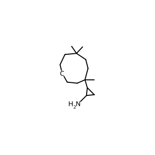 CC1(C)CCCCCC(C)(C2CC2N)CC1